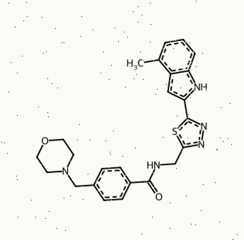 Cc1cccc2[nH]c(-c3nnc(CNC(=O)c4ccc(CN5CCOCC5)cc4)s3)cc12